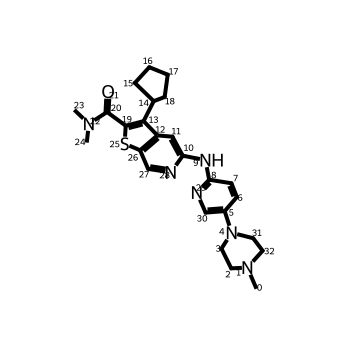 CN1CCN(c2ccc(Nc3cc4c(C5CCCC5)c(C(=O)N(C)C)sc4cn3)nc2)CC1